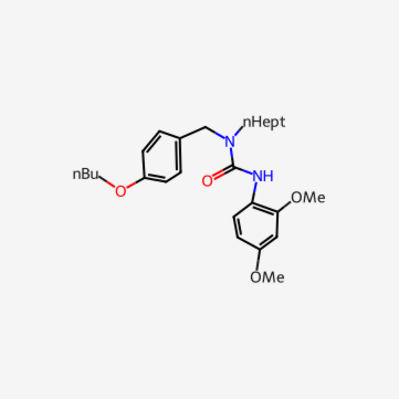 CCCCCCCN(Cc1ccc(OCCCC)cc1)C(=O)Nc1ccc(OC)cc1OC